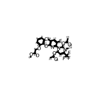 COC(=O)COc1ccccc1Oc1nc(N2C(OC(C)=O)C=C(C(F)(F)F)N(C)C2OC(C)=O)c(F)cc1Cl